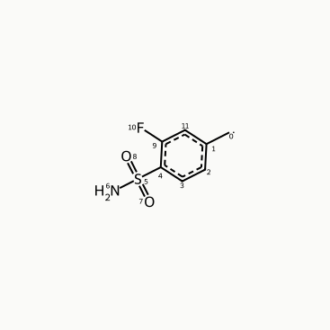 [CH2]c1ccc(S(N)(=O)=O)c(F)c1